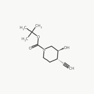 C#C[C@@H]1CCN(C(=O)OC(C)(C)C)C[C@H]1O